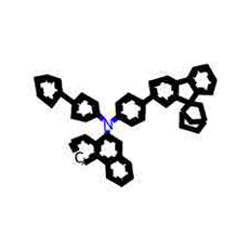 c1ccc(-c2ccc(N(c3ccc(-c4ccc5c(c4)C4(CC6CCC4C6)c4ccccc4-5)cc3)c3cc4ccccc4c4ccccc34)cc2)cc1